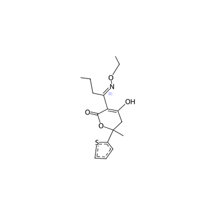 CCC/C(=N\OCC)C1=C(O)CC(C)(c2cccs2)OC1=O